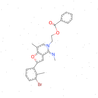 C/N=c1\c2cc(-c3cccc(Br)c3C)oc2c(C)cn1CCOC(=O)c1ccccc1